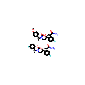 COc1ccc([C@H](C)N2CC[C@](CCC(N)=O)(c3ccc(F)cc3)OC2=O)cc1.C[C@@H](c1cccc(F)c1)N1CC[C@](CCC(N)=O)(c2ccc(F)cc2)OC1=O